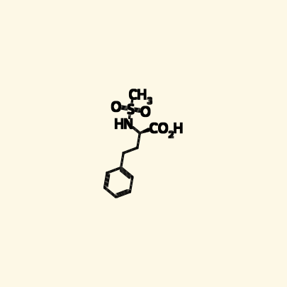 CS(=O)(=O)N[C@H](CCc1ccccc1)C(=O)O